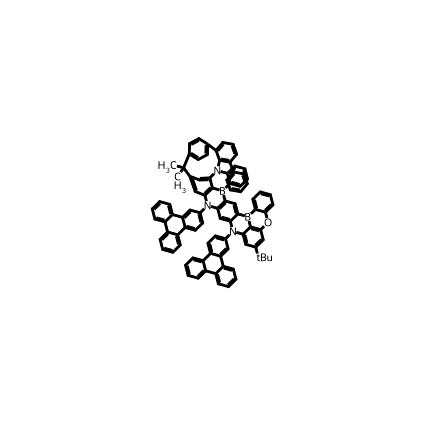 CC(C)(C)c1cc2c3c(c1)N(c1ccc4c5ccccc5c5ccccc5c4c1)c1cc4c(cc1B3c1ccccc1O2)B1c2ccccc2N2c3cc(cc(c31)N4c1ccc3c4ccccc4c4ccccc4c3c1)C(C)(C)c1ccc(cc1)-c1cccc(-c3ccccc3)c12